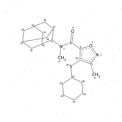 Cc1noc(C(=O)N(C)C2C3CC4CC(C3)CC2C4)c1SC1CCCCC1